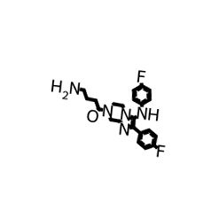 NCCCC(=O)N1CCn2c(nc(-c3ccc(F)cc3)c2Nc2ccc(F)cc2)C1